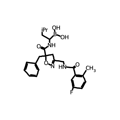 Cc1ccc(F)cc1C(=O)NCC1=NOC(Cc2ccccc2)(C(=O)NC(CC(C)C)B(O)O)C1